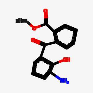 CCCCCCOC(=O)c1ccccc1C(=O)c1cccc(N)c1O